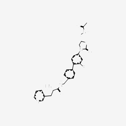 CC(=O)NC[C@H]1CN(c2ccc(-c3ccc(CNC(=O)[C@@H](N)Cc4cccnc4)cc3)c(F)c2)C(=O)O1